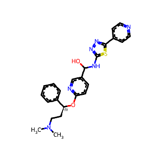 CN(C)CC[C@H](Oc1ccc(C(O)Nc2nnc(-c3ccncc3)s2)cn1)c1ccccc1